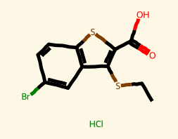 CCSc1c(C(=O)O)sc2ccc(Br)cc12.Cl